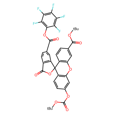 CC(C)(C)OC(=O)Oc1ccc2c(c1)Oc1cc(C(=O)OC(C)(C)C)ccc1C21OC(=O)c2ccc(C(=O)Oc3c(F)c(F)c(F)c(F)c3F)cc21